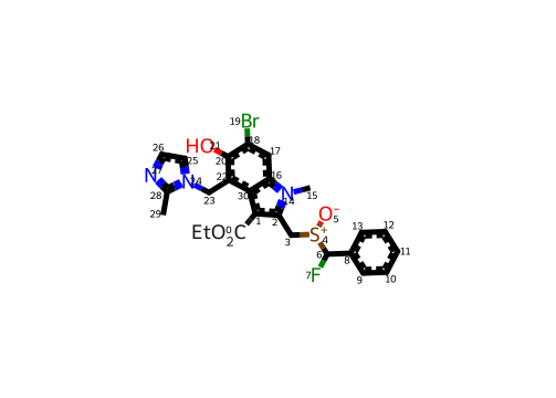 CCOC(=O)c1c(C[S+]([O-])C(F)c2ccccc2)n(C)c2cc(Br)c(O)c(Cn3ccnc3C)c12